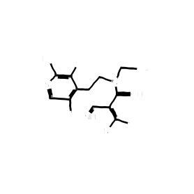 C=C(/C(C=N)=C(/N)C(F)(F)F)N(CCc1c(C)cnc(CC)c1Cl)CC(C)(C)C